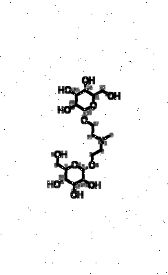 CN(CCO[C@H]1O[C@H](CO)[C@@H](O)[C@H](O)[C@@H]1O)CCO[C@H]1O[C@H](CO)[C@@H](O)[C@H](O)[C@@H]1O